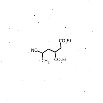 CCOC(=O)CC(CC(C)C#N)C(=O)OCC